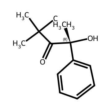 CC(C)(C)C(=O)[C@](C)(O)c1ccccc1